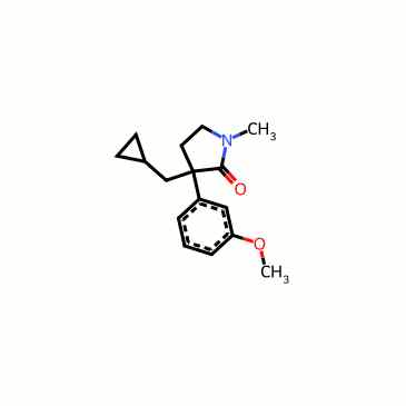 COc1cccc(C2(CC3CC3)CCN(C)C2=O)c1